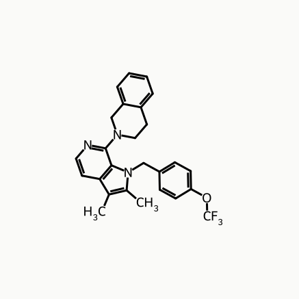 Cc1c(C)n(Cc2ccc(OC(F)(F)F)cc2)c2c(N3CCc4ccccc4C3)nccc12